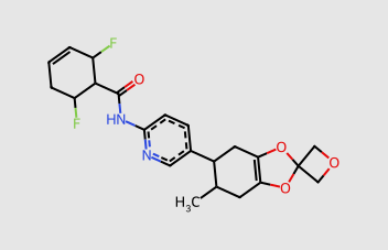 CC1CC2=C(CC1c1ccc(NC(=O)C3C(F)C=CCC3F)nc1)OC1(COC1)O2